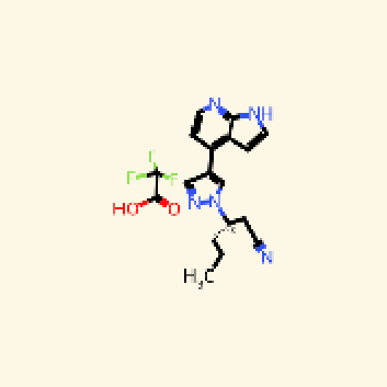 CCC[C@@H](CC#N)n1cc(-c2ccnc3[nH]ccc23)cn1.O=C(O)C(F)(F)F